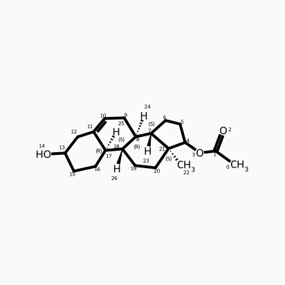 CC(=O)OC1CC[C@H]2[C@@H]3CC=C4CC(O)CC[C@@H]4[C@H]3CC[C@]12C